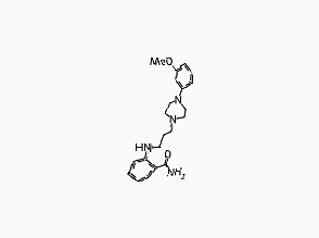 COc1cccc(N2CCN(CCCNc3ccccc3C(N)=O)CC2)c1